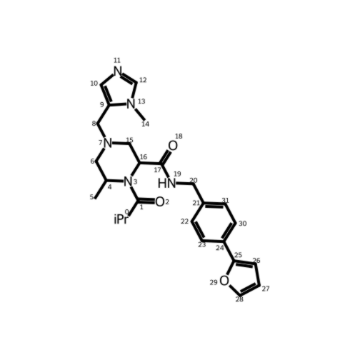 CC(C)C(=O)N1C(C)CN(Cc2cncn2C)CC1C(=O)NCc1ccc(-c2ccco2)cc1